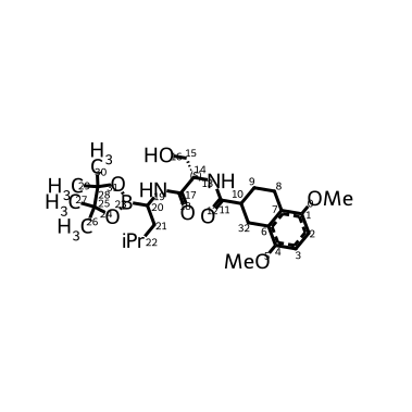 COc1ccc(OC)c2c1CCC(C(=O)N[C@@H](CO)C(=O)NC(CC(C)C)B1OC(C)(C)C(C)(C)O1)C2